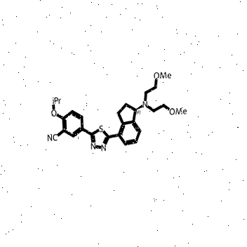 COCCN(CCOC)[C@@H]1CCc2c(-c3nnc(-c4ccc(OC(C)C)c(C#N)c4)s3)cccc21